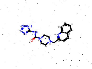 O=C(Nc1nnn[nH]1)N1CCN(Cc2ccc3ccccc3n2)CC1